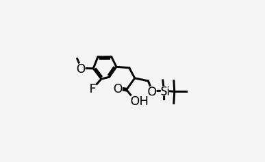 COc1ccc(CC(CO[Si](C)(C)C(C)(C)C)C(=O)O)cc1F